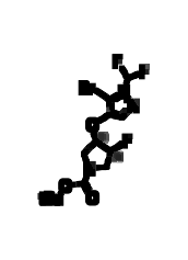 CC(C)(C)OC(=O)N1C[C@H](F)[C@H](Oc2cnn(C(F)F)c2Br)C1